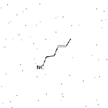 CC=CCCC#N